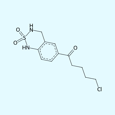 O=C(CCCCCl)c1ccc2c(c1)CNS(=O)(=O)N2